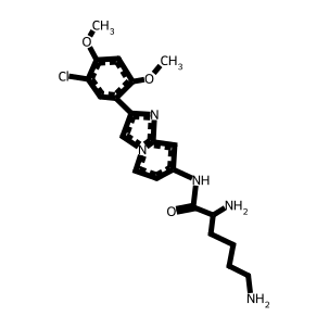 COc1cc(OC)c(-c2cn3ccc(NC(=O)C(N)CCCCN)cc3n2)cc1Cl